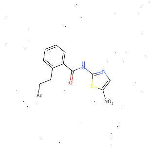 CC(=O)CCc1ccccc1C(=O)Nc1ncc([N+](=O)[O-])s1